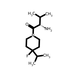 CC(C)[C@H](N)C(=O)N1CCC(F)(C(C)C)CC1